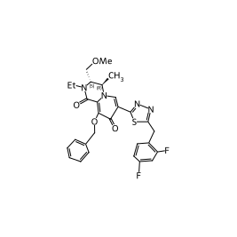 CCN1C(=O)c2c(OCc3ccccc3)c(=O)c(-c3nnc(Cc4ccc(F)cc4F)s3)cn2[C@H](C)[C@H]1COC